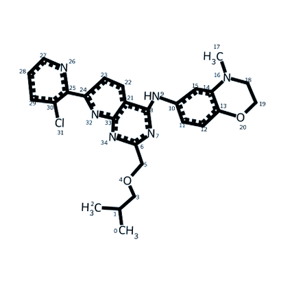 CC(C)COCc1nc(Nc2ccc3c(c2)N(C)CCO3)c2ccc(-c3ncccc3Cl)nc2n1